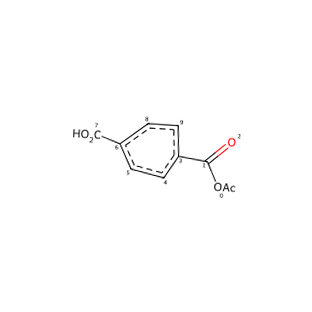 CC(=O)OC(=O)c1ccc(C(=O)O)cc1